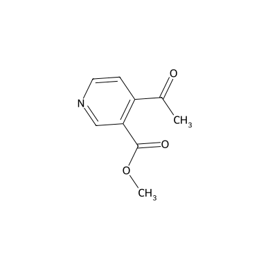 COC(=O)c1cnccc1C(C)=O